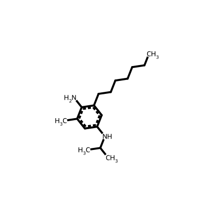 CCCCCCCc1cc(NC(C)C)cc(C)c1N